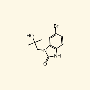 CC(C)(O)Cn1c(=O)[nH]c2ccc(Br)cc21